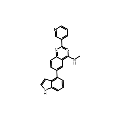 CNc1nc(-c2cccnc2)nc2ccc(-c3cccc4[nH]ccc34)cc12